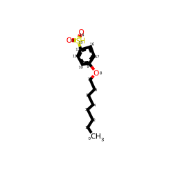 CCCCCCCCOc1ccc([SH](=O)=O)cc1